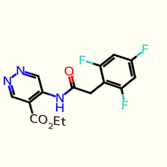 CCOC(=O)c1cnncc1NC(=O)Cc1c(F)cc(F)cc1F